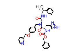 CC(CNC(=O)CN(Cc1ccc(OCc2cccnc2)cc1)C(=O)[C@H](Cc1c[nH]cn1)NC(=O)OCc1ccccc1)c1ccccc1